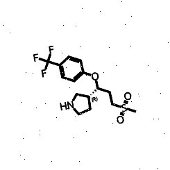 CS(=O)(=O)CCC(Oc1ccc(C(F)(F)F)cc1)[C@@H]1CCNC1